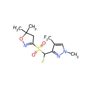 Cn1cc(C(F)(F)F)c(C(F)S(=O)(=O)C2=NOC(C)(C)C2)n1